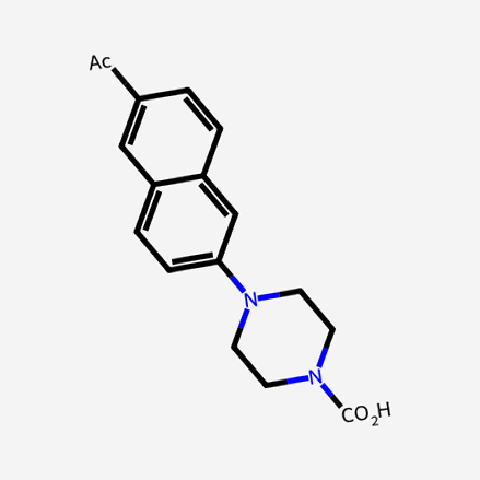 CC(=O)c1ccc2cc(N3CCN(C(=O)O)CC3)ccc2c1